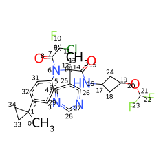 CC1(c2ccc(N(C(=O)[C@H](F)Cl)[C@@](C)(C(=O)NC3CC(OC(F)F)C3)c3cncnc3)cc2)CC1